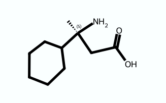 C[C@](N)(CC(=O)O)C1CCCCC1